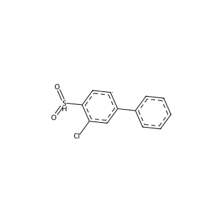 O=[SH](=O)c1c[c]c(-c2ccccc2)cc1Cl